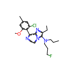 CCCN(CCCF)c1c(CC)nc2c(-c3c(Cl)cc(C)cc3OC)nccn12